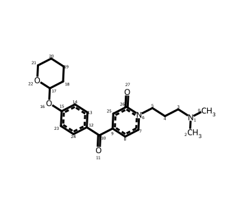 CN(C)CCCn1ccc(C(=O)c2ccc(OC3CCCCO3)cc2)cc1=O